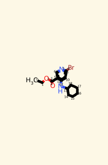 CCOC(=O)c1cnc(Br)cc1NC1CCCCC1